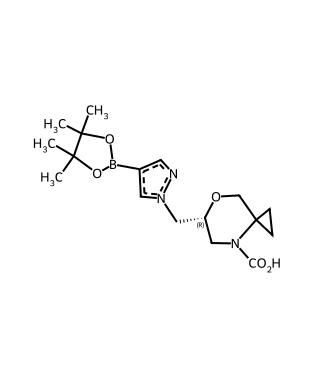 CC1(C)OB(c2cnn(C[C@H]3CN(C(=O)O)C4(CC4)CO3)c2)OC1(C)C